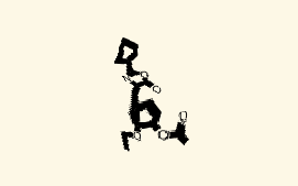 CCOc1cc(C=C2N=C(c3ccccc3)OC2=O)ccc1OC(C)=O